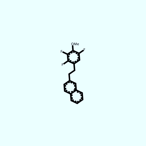 COc1c(F)cc(CCc2ccc3ccccc3c2)c(F)c1F